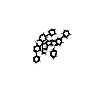 c1ccc(-c2ccc3c(c2)C2(c4cc(-c5ccccc5)ccc4O3)c3ccccc3-c3c2ccc2c4cc(-c5ccccc5)ccc4n(-c4ccccc4)c32)cc1